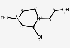 CC(C)(C)N1CCN(CCO)C(O)C1